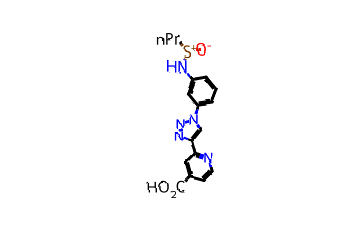 CCC[S+]([O-])Nc1cccc(-n2cc(-c3cc(C(=O)O)ccn3)nn2)c1